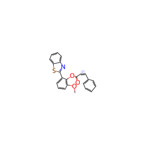 COc1cccc(-c2nc3ccccc3s2)c1OC(=O)/C=C\c1ccccc1